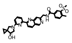 Cc1ccc(C(=O)NCc2cc3nc(-c4cccc(N5C[C@@H](O)C6(CC6)C5)n4)ccc3cn2)cc1S(C)(=O)=O